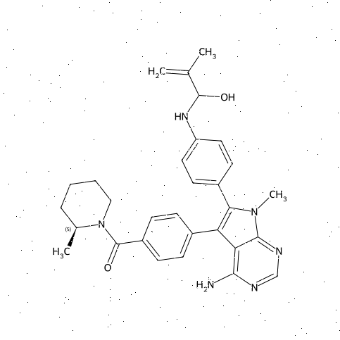 C=C(C)C(O)Nc1ccc(-c2c(-c3ccc(C(=O)N4CCCC[C@@H]4C)cc3)c3c(N)ncnc3n2C)cc1